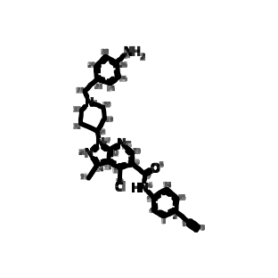 C#Cc1ccc(NC(=O)c2cnc3c(c(C)nn3C3CCN(Cc4ccc(N)cc4)CC3)c2Cl)cc1